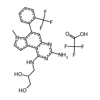 Cn1ccc2c3c(NCC(O)CO)nc(N)nc3cc(-c3ccccc3C(F)(F)F)c21.O=C(O)C(F)(F)F